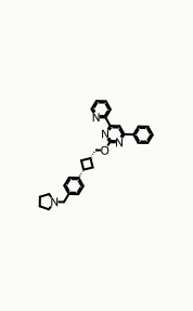 c1ccc(-c2cc(-c3ccccn3)nc(OC[C@H]3C[C@@H](c4ccc(CN5CCCC5)cc4)C3)n2)cc1